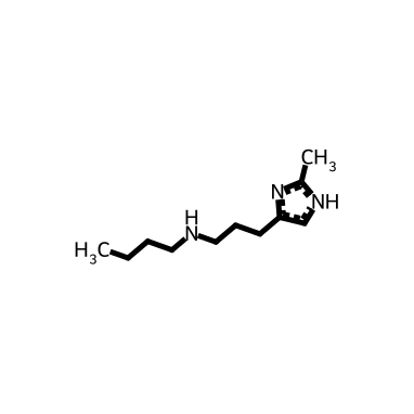 CCCCNCCCc1c[nH]c(C)n1